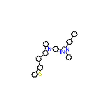 C1=C(c2ccc(-c3ccccc3)cc2)N=C(c2ccccc2)NC1c1ccc(-n2c3ccccc3c3cc(-c4cccc(-c5ccc6sc7ccccc7c6c5)c4)ccc32)cc1